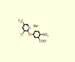 O=C([O-])c1cc(Oc2ncc(C(F)(F)F)cc2Cl)ccc1[N+](=O)[O-].[Na+]